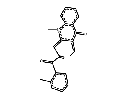 C=C(/C=c1\c(=C/C)c(=O)c2ccccc2n1C)C(=O)c1ccccc1C